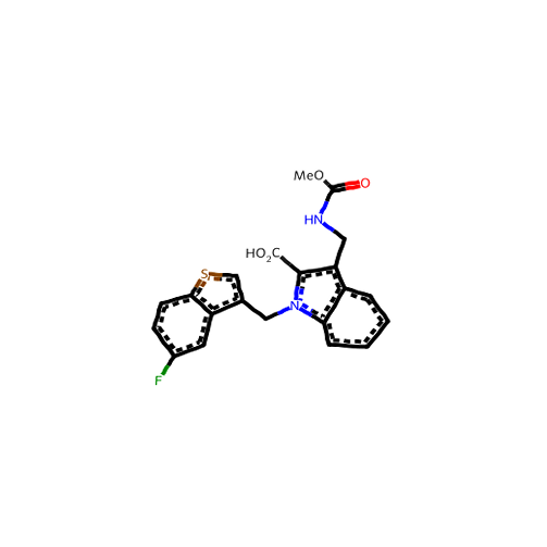 COC(=O)NCc1c(C(=O)O)n(Cc2csc3ccc(F)cc23)c2ccccc12